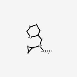 O=C(O)N(CC1CCCCO1)C1CC1